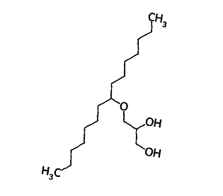 CCCCCCCC(CCCCCCC)OCC(O)CO